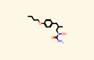 CCCCOc1ccc(CC(C)CN(O)C(N)=O)cc1